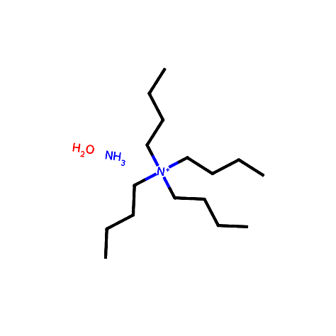 CCCC[N+](CCCC)(CCCC)CCCC.N.O